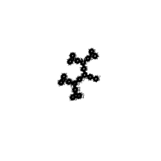 c1ccc(-c2ccc(-c3cc(-c4ccc(-c5cc(-c6ccc(-n7c8ccccc8c8ccccc87)cc6)nc(-c6ccc(-n7c8ccccc8c8ccccc87)cc6)c5)cc4)cc(-c4ccc(-c5cc(-c6ccc(-n7c8ccccc8c8ccccc87)cc6)nc(-c6ccc(-n7c8ccccc8c8ccccc87)cc6)c5)cc4)c3)cc2)cc1